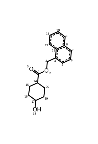 O=C(OCc1cccc2ccccc12)C1CCC(O)CC1